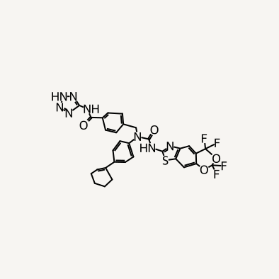 O=C(Nc1nn[nH]n1)c1ccc(CN(C(=O)Nc2nc3cc4c(cc3s2)OC(F)(F)OC4(F)F)c2ccc(C3=CCCCC3)cc2)cc1